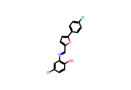 Oc1ccc(Cl)cc1/N=C/c1ccc(-c2ccc(Cl)cc2)o1